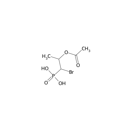 CC(=O)OC(C)C(Br)P(=O)(O)O